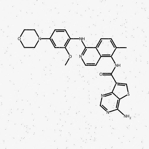 COc1cc(N2CCOCC2)ccc1Nc1nccc2c(NC(=O)c3csc4c(N)ncnc34)c(C)ccc12